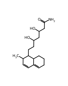 CC1C=CC2=CCCCC2C1CCC(O)CC(O)CC(N)=O